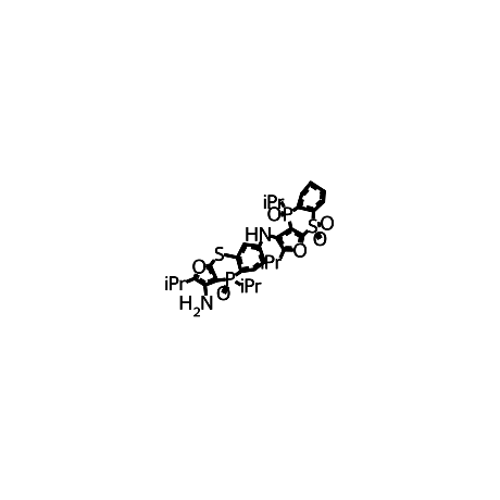 CC(C)c1oc2c(c1N)P(=O)(C(C)C)c1ccc(Nc3c(C(C)C)oc4c3P(=O)(C(C)C)c3ccccc3S4(=O)=O)cc1S2